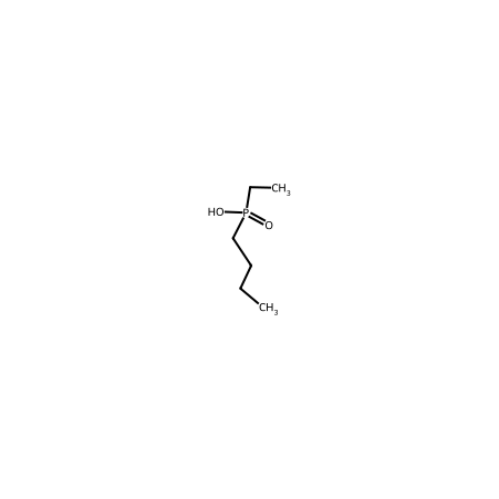 CCCCP(=O)(O)CC